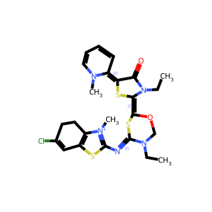 CCN1CO/C(=c2/s/c(=C3/C=CC=CN3C)c(=O)n2CC)S/C1=N\c1sc2c([n+]1C)CCC(Cl)=C2